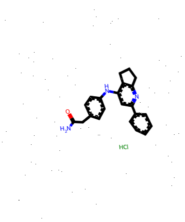 Cl.NC(=O)Cc1ccc(Nc2cc(-c3ccccc3)nc3c2CCC3)cc1